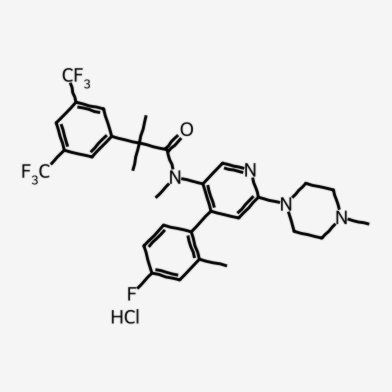 Cc1cc(F)ccc1-c1cc(N2CCN(C)CC2)ncc1N(C)C(=O)C(C)(C)c1cc(C(F)(F)F)cc(C(F)(F)F)c1.Cl